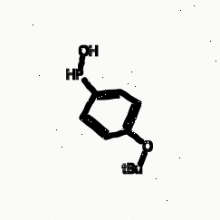 CC(C)(C)Oc1ccc(PO)cc1